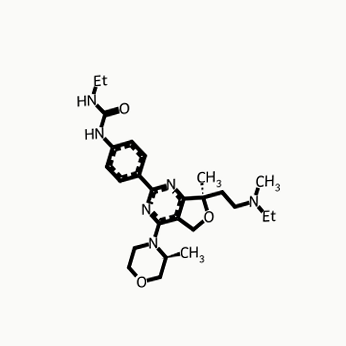 CCNC(=O)Nc1ccc(-c2nc(N3CCOC[C@@H]3C)c3c(n2)[C@@](C)(CCN(C)CC)OC3)cc1